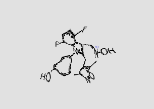 Cc1noc(C)c1-c1c(/C=N/O)c2c(F)ccc(F)c2n1-c1ccc(O)cc1